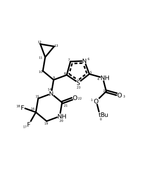 CC(C)(C)OC(=O)Nc1ncc(C(CC2CC2)N2CC(F)(F)CNC2=O)s1